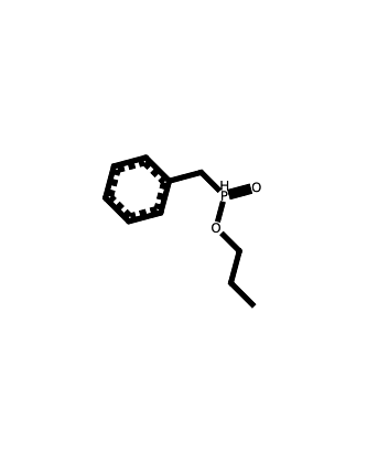 CCCO[PH](=O)Cc1ccccc1